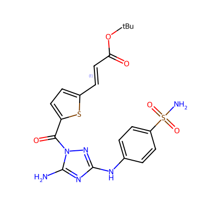 CC(C)(C)OC(=O)/C=C/c1ccc(C(=O)n2nc(Nc3ccc(S(N)(=O)=O)cc3)nc2N)s1